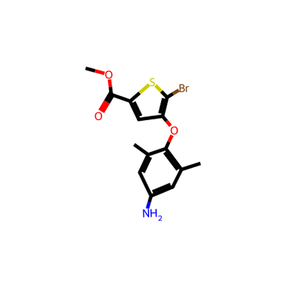 COC(=O)c1cc(Oc2c(C)cc(N)cc2C)c(Br)s1